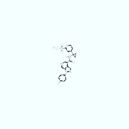 CS(=O)(=O)c1cc(C2(NC(=O)c3cncc4c3cnn4-c3ccc(F)cc3)CC2)ccn1